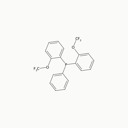 FC(F)(F)Oc1ccccc1P(c1ccccc1)c1ccccc1OC(F)(F)F